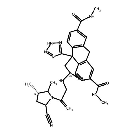 C=C(CN[C@H](C)CC1(c2nn[nH]n2)c2ccc(C(=O)NC)cc2Cc2cc(C(=O)NC)ccc21)N1C(C#N)C[C@H](C)C1C